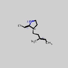 C/C=C(\C)CC[C@@H]1CCN/C1=C\CC